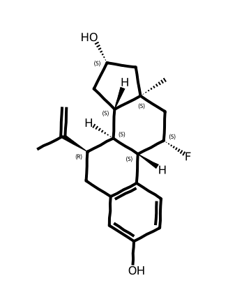 C=C(C)[C@@H]1Cc2cc(O)ccc2[C@@H]2[C@@H]1[C@@H]1C[C@H](O)C[C@@]1(C)C[C@@H]2F